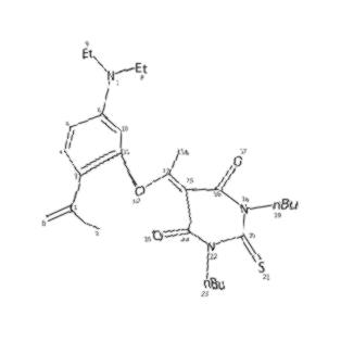 C=C(C)c1ccc(N(CC)CC)cc1OC(C)=C1C(=O)N(CCCC)C(=S)N(CCCC)C1=O